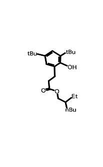 CCCCC(CC)COC(=O)CCc1cc(C(C)(C)C)cc(C(C)(C)C)c1O